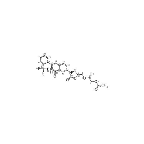 CC(=O)OCC(=O)OC[C@@H]1CN(c2ccc3cc(-c4ccccc4C(F)(F)F)[nH]c(=O)c3c2)C(=O)O1